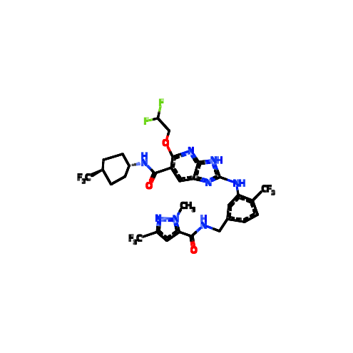 Cn1nc(C(F)(F)F)cc1C(=O)NCc1ccc(C(F)(F)F)c(Nc2nc3cc(C(=O)N[C@H]4CC[C@H](C(F)(F)F)CC4)c(OCC(F)F)nc3[nH]2)c1